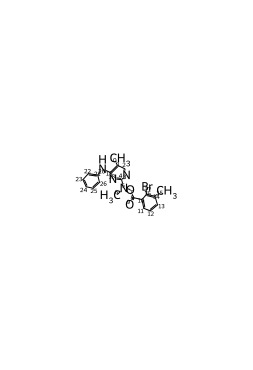 Cc1cnc(N(C)OC(=O)c2cccc(C)c2Br)nc1Nc1ccccc1